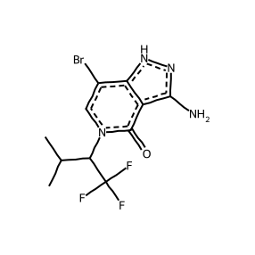 CC(C)C(n1cc(Br)c2[nH]nc(N)c2c1=O)C(F)(F)F